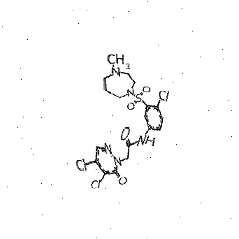 CN1CCCN(S(=O)(=O)c2cc(NC(=O)Cn3ncc(Cl)c(Cl)c3=O)ccc2Cl)CC1